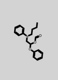 CCCCN(CC(OC=O)Oc1ccccc1)c1ccccc1